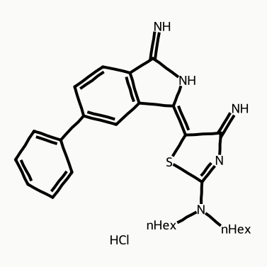 CCCCCCN(CCCCCC)C1=NC(=N)C(=C2NC(=N)c3ccc(-c4ccccc4)cc32)S1.Cl